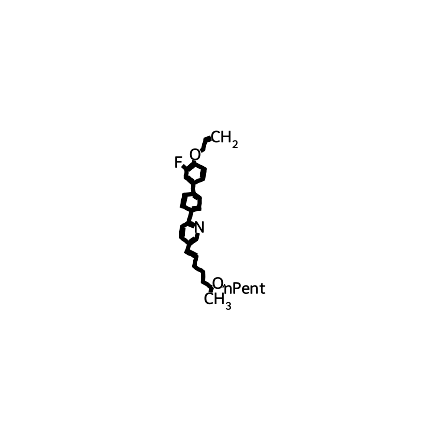 C=CCOc1ccc(-c2ccc(-c3ccc(/C=C/CCCC(C)OCCCCC)cn3)cc2)cc1F